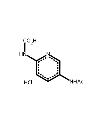 CC(=O)Nc1ccc(NC(=O)O)nc1.Cl